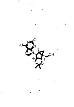 CC1(C)O[C@H]2[C@H](n3cnc4c(Cl)nc(Cl)nc43)[C@H]3C[C@]3(CO)[C@H]2O1